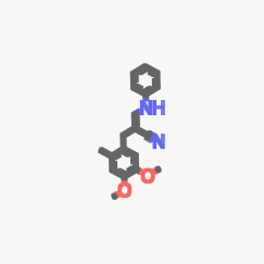 COc1cc(C)c(CC(C#N)=CNc2ccccc2)cc1OC